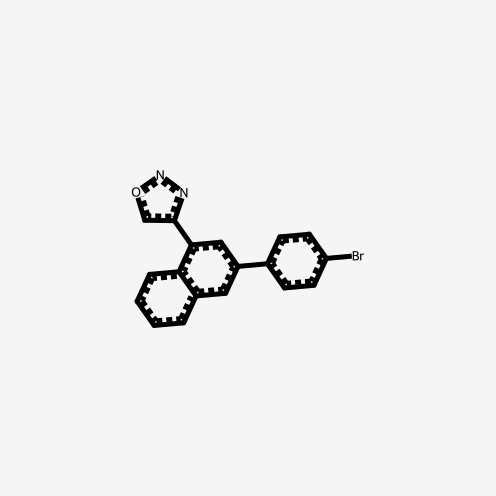 Brc1ccc(-c2cc(-c3conn3)c3ccccc3c2)cc1